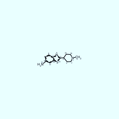 CN1CCC(c2nc3ccc(N)cc3s2)CC1